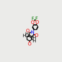 O=C1C[C@H]2CC[C@@H]1[C@H]1C(=O)N(c3ccc4c(c3)OC(F)(F)O4)C(=O)[C@@H]21